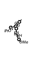 COc1ccc(CNc2nsc(-c3ccc4c(c3)c(-c3cccc(OC(C)C)n3)cn4S(=O)(=O)c3ccc(C)cc3)n2)cc1